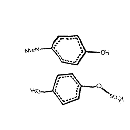 CNc1ccc(O)cc1.O=S(=O)(O)Oc1ccc(O)cc1